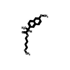 [2H][C@@](C)(C(=O)OCCCCOC)c1ccc2cc(OC)ccc2c1